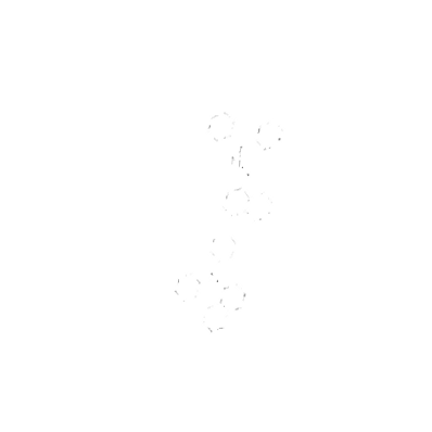 c1ccc(C(=NNc2ccc(-c3ccc(N(c4ccccc4)c4cccc5ccccc45)cc3)c3ccccc23)c2ccccc2)cc1